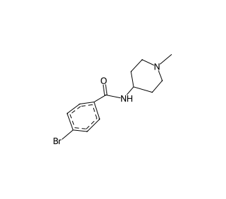 CN1CCC(NC(=O)c2ccc(Br)cc2)CC1